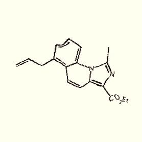 C=CCc1cccc2c1ccc1c(C(=O)OCC)nc(C)n12